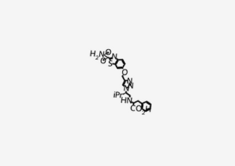 CC(C)[C@H](CNC(Cc1ccccc1)C(=O)O)n1cc(COc2ccc3nc(S(N)(=O)=O)sc3c2)nn1